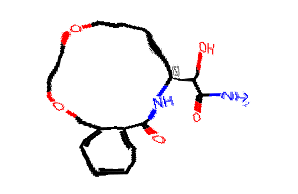 NC(=O)C(O)[C@@H]1CCCCOCCOCc2ccccc2C(=O)N1